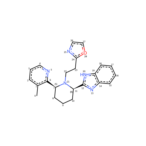 Cc1cccnc1[C@@H]1CCC[C@H](c2nc3ccccc3[nH]2)N1CCc1ncco1